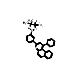 CC1(C)OB(c2cccc(-c3cc(-c4ccccc4)c4c(ccc5ccccc54)n3)c2)OC1(C)C